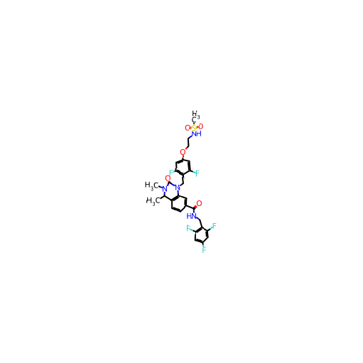 CC1c2ccc(C(=O)NCc3c(F)cc(F)cc3F)cc2N(Cc2c(F)cc(OCCNS(C)(=O)=O)cc2F)C(=O)N1C